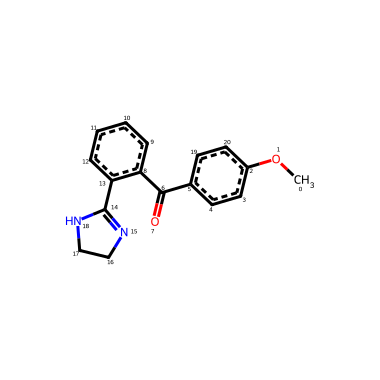 COc1ccc(C(=O)c2ccccc2C2=NCCN2)cc1